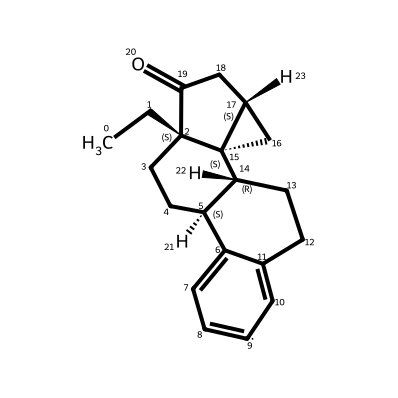 CC[C@]12CC[C@@H]3c4cc[c]cc4CC[C@H]3[C@@]13C[C@H]3CC2=O